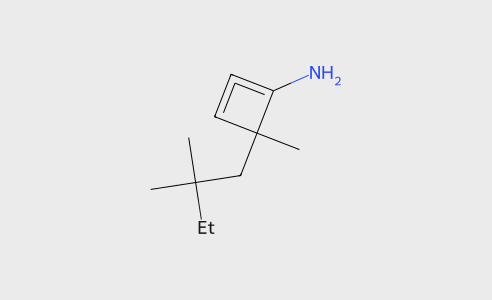 CCC(C)(C)CC1(C)C=C=C1N